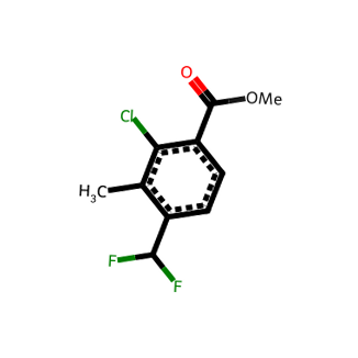 COC(=O)c1ccc(C(F)F)c(C)c1Cl